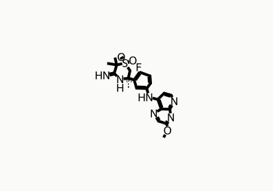 COc1cnc2c(Nc3ccc(F)c([C@]4(C)CS(=O)(=O)C(C)(C)C(=N)N4)c3)ccnc2n1